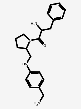 NCc1ccc(NCC2CCCN2C(=O)C(N)Cc2ccccc2)cc1